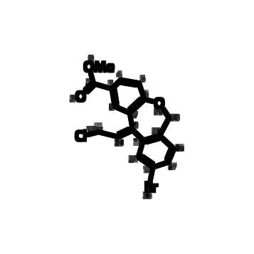 COC(=O)c1ccc2c(c1)/C(=C\CCl)c1cc(Br)ccc1CO2